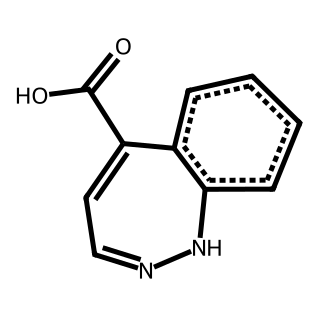 O=C(O)C1=CC=NNc2ccccc21